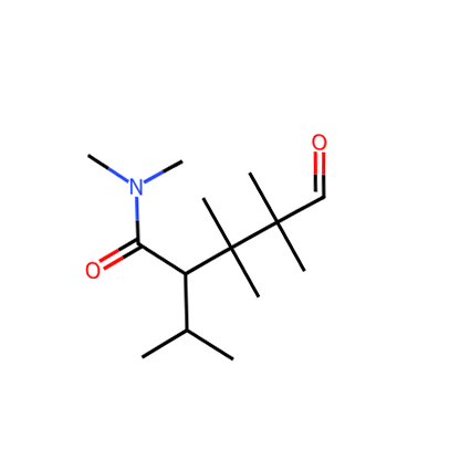 CC(C)C(C(=O)N(C)C)C(C)(C)C(C)(C)C=O